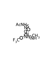 CC(=O)Nc1nc2c(Oc3cc(-c4ccc(C(F)(F)F)cc4)nc(N4CCNC(C)C4)n3)cccc2s1